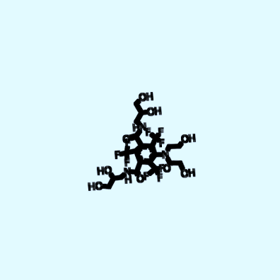 O=C(NCC(O)CO)c1c(C(F)(F)F)c(C(=O)NCC(O)CO)c(C(F)(F)F)c(N(CCO)C(=O)CO)c1C(F)(F)F